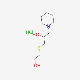 Cl.OCCSCC(O)CN1CCCCC1